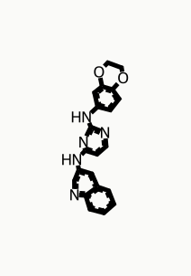 c1ccc2ncc(Nc3ccnc(Nc4ccc5c(c4)OCCO5)n3)cc2c1